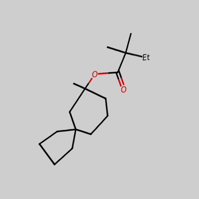 CCC(C)(C)C(=O)OC1(C)CCCC2(CCCC2)C1